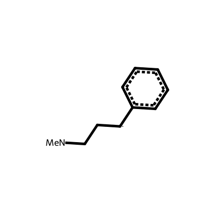 CNCC[CH]c1ccccc1